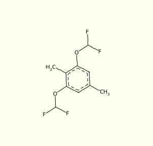 [CH2]c1c(OC(F)F)cc(C)cc1OC(F)F